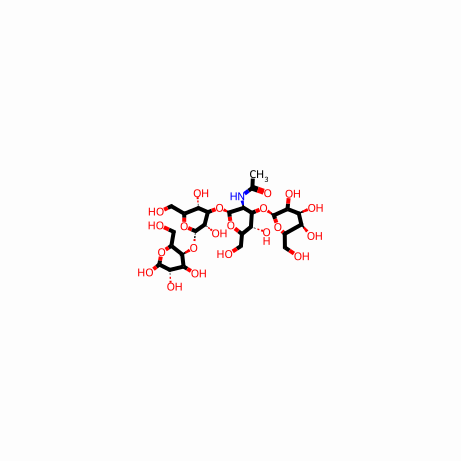 CC(=O)N[C@H]1C(O[C@@H]2OC(CO)[C@H](O)[C@H](O)C2O)[C@H](O)C(CO)O[C@H]1OC1[C@@H](O)C(CO)O[C@@H](O[C@@H]2C(CO)OC(O)[C@@H](O)C2O)[C@H]1O